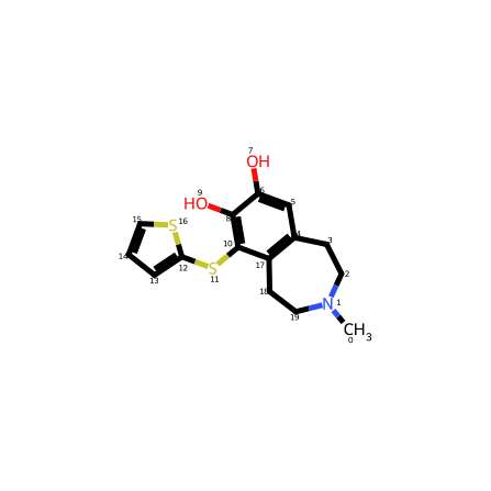 CN1CCc2cc(O)c(O)c(Sc3cccs3)c2CC1